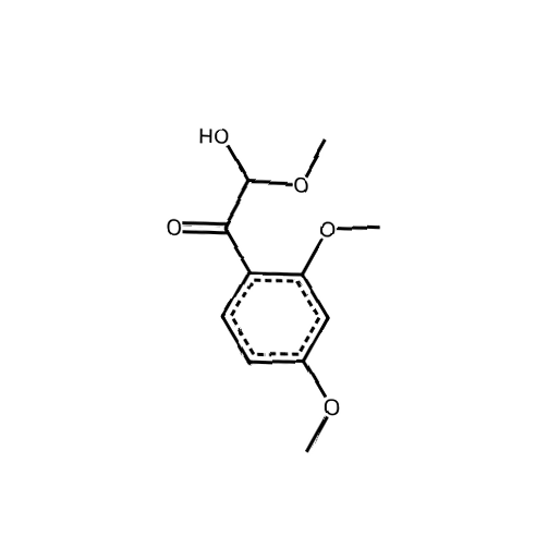 COc1ccc(C(=O)C(O)OC)c(OC)c1